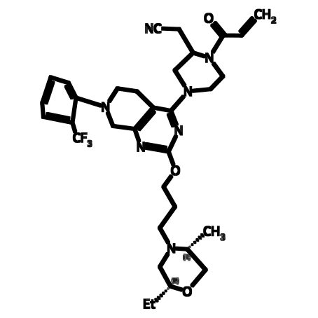 C=CC(=O)N1CCN(c2nc(OCCCN3C[C@@H](CC)OC[C@H]3C)nc3c2CCN(c2ccccc2C(F)(F)F)C3)CC1CC#N